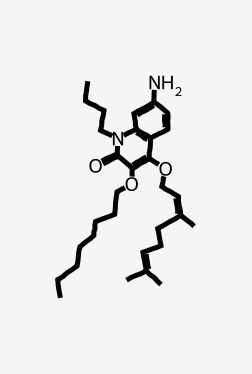 CCCCCCCCOc1c(OCC=C(C)CCC=C(C)C)c2ccc(N)cc2n(CCCC)c1=O